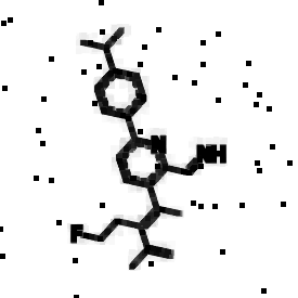 C=C(C)/C(CCF)=C(\C)c1ccc(-c2ccc(C(C)C)cc2)nc1C=N